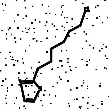 ClCCCCCCc1cccs1